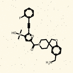 C[Si](C)(O)c1cc(C(=O)N2CCC3(CC2)COc2ccc(CN)cc23)oc1C#Cc1ccccc1F